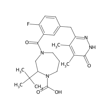 Cc1c(Cc2ccc(F)c(C(=O)N3CCCN(C(=O)O)C(C(C)(C)C)C3)c2)n[nH]c(=O)c1C